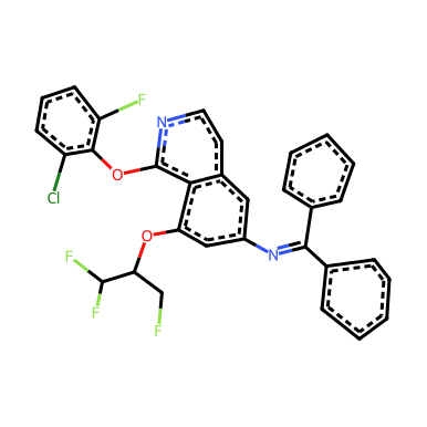 FCC(Oc1cc(N=C(c2ccccc2)c2ccccc2)cc2ccnc(Oc3c(F)cccc3Cl)c12)C(F)F